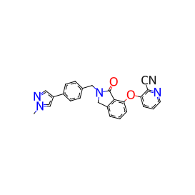 Cn1cc(-c2ccc(CN3Cc4cccc(Oc5cccnc5C#N)c4C3=O)cc2)cn1